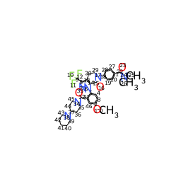 COc1ccc(-n2nc(C(F)(F)F)c3c2C(=O)N(c2ccc(C(=O)N(C)C)cc2)CC3)c(C(=O)N2CCC(N3CCCCC3)CC2)c1